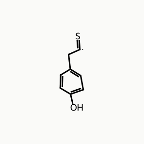 Oc1ccc(C[C]=S)cc1